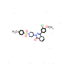 COc1ccc(C2=NN(C3CCN(S(=O)(=O)c4ccc(C)cc4)CC3)C(=O)C3CC=CCC23)cc1Cl